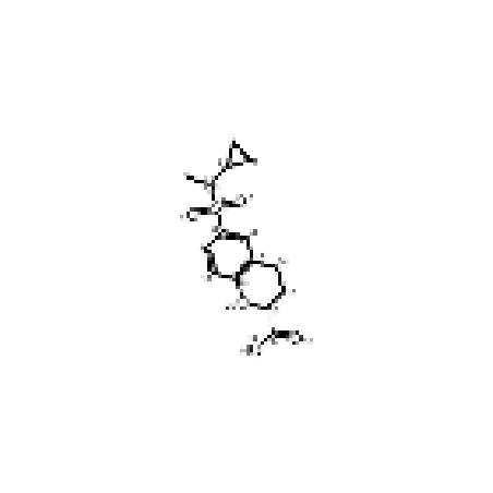 CN(C1CC1)S(=O)(=O)c1ccc2c(c1)CC[C@H](C(=O)O)O2